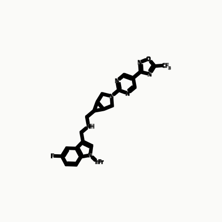 CCCn1cc(CNCC2C3CN(c4ncc(-c5noc(C(F)(F)F)n5)cn4)CC23)c2cc(F)ccc21